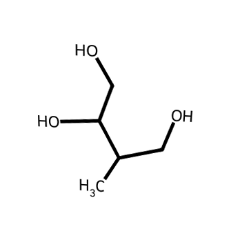 CC(CO)C(O)CO